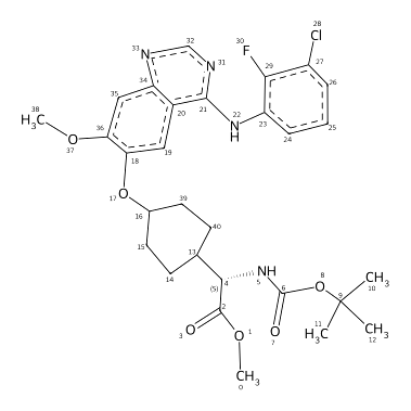 COC(=O)[C@@H](NC(=O)OC(C)(C)C)C1CCC(Oc2cc3c(Nc4cccc(Cl)c4F)ncnc3cc2OC)CC1